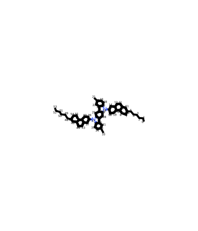 CCCCCCc1ccc2c(ccc3cc(-n4c5ccc(C)cc5c5cc6c(cc54)c4cc(C)ccc4n6-c4ccc5c(ccc6cc(CCCCCC)ccc65)c4)ccc32)c1